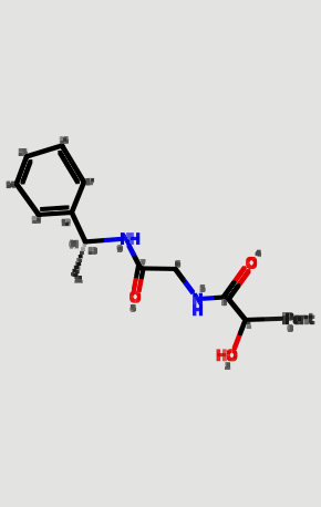 CCCC(C)C(O)C(=O)NCC(=O)N[C@H](C)c1ccccc1